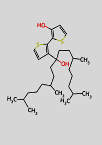 CC(C)CCCC(C)CCC(O)(CCC(C)CCCC(C)C)c1ccsc1-c1sccc1O